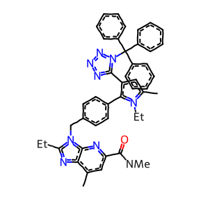 CCc1nc2c(C)cc(C(=O)NC)nc2n1Cc1ccc(-c2c(-c3nnnn3C(c3ccccc3)(c3ccccc3)c3ccccc3)cc(C)n2CC)cc1